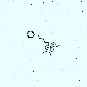 CCO[Si](CCCCCc1ccccc1)(OCC)OCC